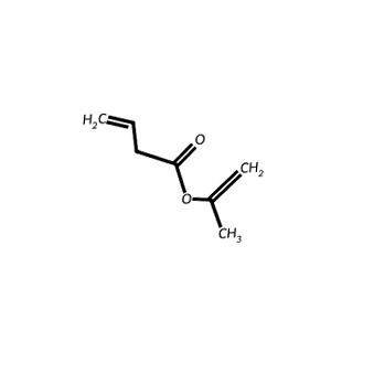 C=CCC(=O)OC(=C)C